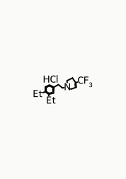 CCc1ccc(CCN2CC=C(C(F)(F)F)CC2)cc1CC.Cl